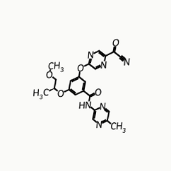 COC[C@H](C)Oc1cc(Oc2cnc(C(=O)C#N)cn2)cc(C(=O)Nc2cnc(C)cn2)c1